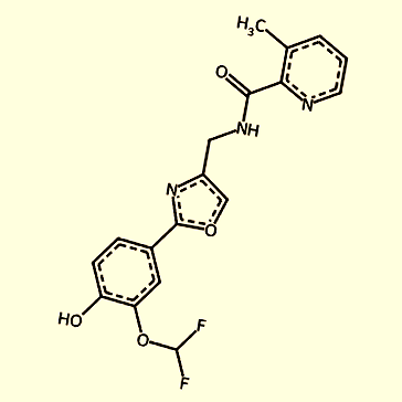 Cc1cccnc1C(=O)NCc1coc(-c2ccc(O)c(OC(F)F)c2)n1